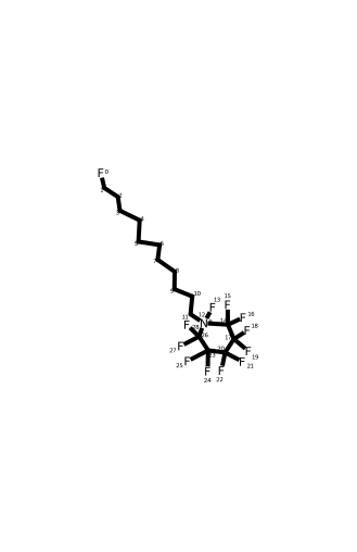 FCCCCCCCCCCC[N+]1(F)C(F)(F)C(F)(F)C(F)(F)C(F)(F)C1(F)F